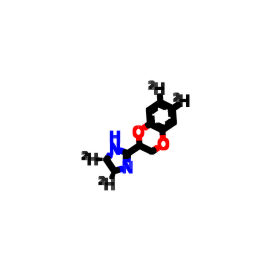 [2H]c1cc2c(cc1[2H])OC(C1=N[C@@H]([2H])[C@H]([2H])N1)CO2